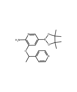 CC(Oc1cc(B2OC(C)(C)C(C)(C)O2)cnc1N)c1ccncc1